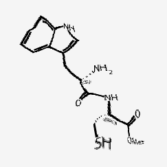 COC(=O)[C@H](CS)NC(=O)[C@@H](N)Cc1c[nH]c2ccccc12